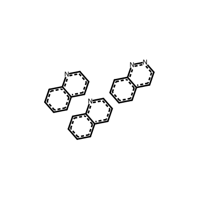 c1ccc2ncccc2c1.c1ccc2ncccc2c1.c1ccc2nnccc2c1